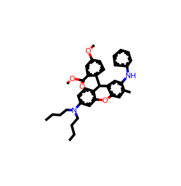 CCCCN(CCCC)c1ccc2c(c1)Oc1cc(C)c(Nc3ccccc3)cc1C2c1ccc(OC)cc1C(=O)OC